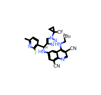 Cc1ccc([C@H](Nc2cc(C#N)c3ncc(C#N)c(NCC(C)(C)C)c3c2)c2cn(C3(C(F)(F)F)CC3)nn2)c(F)n1